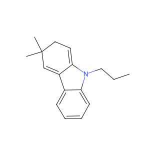 CCCn1c2c(c3ccccc31)=CC(C)(C)CC=2